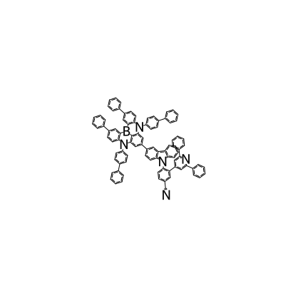 N#Cc1ccc(-n2c3ccccc3c3cc(-c4cc5c6c(c4)N(c4ccc(-c7ccccc7)cc4)c4ccc(-c7ccccc7)cc4B6c4cc(-c6ccccc6)ccc4N5c4ccc(-c5ccccc5)cc4)ccc32)c(-c2cc(-c3ccccc3)nc(-c3ccccc3)c2)c1